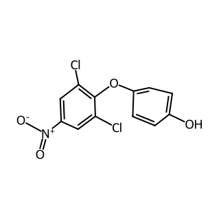 O=[N+]([O-])c1cc(Cl)c(Oc2ccc(O)cc2)c(Cl)c1